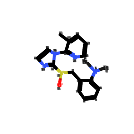 CCN(CC)c1ccccc1C[S+]([O-])c1nccn1-c1ncccc1C